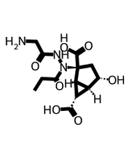 CCC(=O)N(NC(=O)CN)[C@@]1(C(=O)O)C[C@H](O)[C@H]2[C@H](C(=O)O)[C@H]21